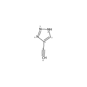 C#Cc1c[nH]nn1